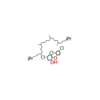 CC(C)CCCC(C)CCCC(C)CCCCC(C)CCCC(C)CCCC(C)C.Oc1cc(Cl)ccc1Oc1ccc(Cl)cc1Cl